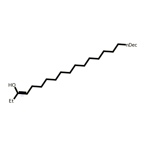 CCCCCCCCCCCCCCCCCCCCCCC/C=C(\O)CC